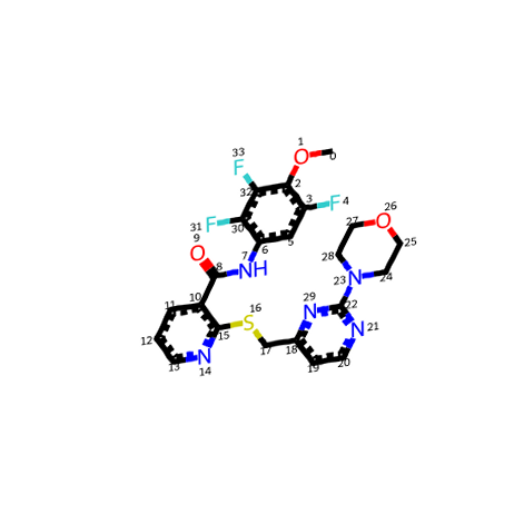 COc1c(F)cc(NC(=O)c2cccnc2SCc2ccnc(N3CCOCC3)n2)c(F)c1F